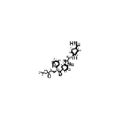 CCOC(=O)CCN(C(=O)c1ccc2c(c1)nc(CNc1ccc(C(C)=N)cc1)n2C)c1ccccn1